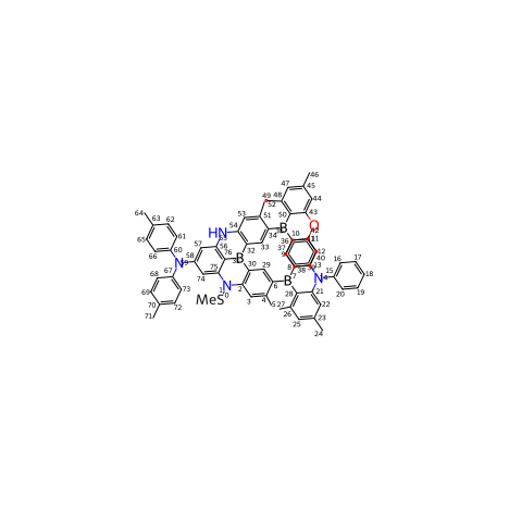 CSN1c2cc(C)c(B3c4ccccc4N(c4ccccc4)c4cc(C)cc(C)c43)cc2B2c3cc(B4c5ccccc5Oc5cc(C)cc(C)c54)c(C)cc3Nc3cc(N(c4ccc(C)cc4)c4ccc(C)cc4)cc1c32